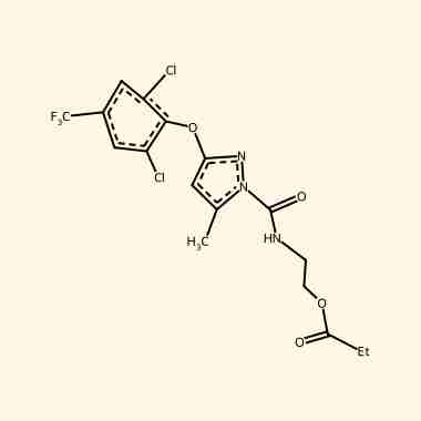 CCC(=O)OCCNC(=O)n1nc(Oc2c(Cl)cc(C(F)(F)F)cc2Cl)cc1C